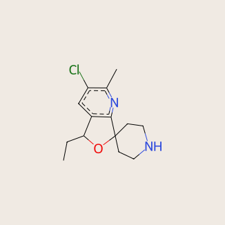 CCC1OC2(CCNCC2)c2nc(C)c(Cl)cc21